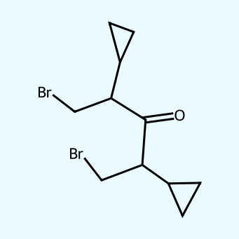 O=C(C(CBr)C1CC1)C(CBr)C1CC1